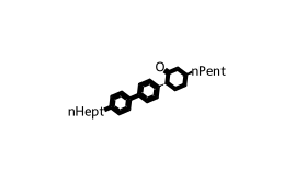 CCCCCCCc1ccc(-c2ccc([C@H]3CC[C@H](CCCCC)CC3=O)cc2)cc1